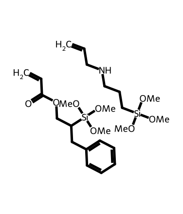 C=CC(=O)OCC(Cc1ccccc1)[Si](OC)(OC)OC.C=CCNCCC[Si](OC)(OC)OC